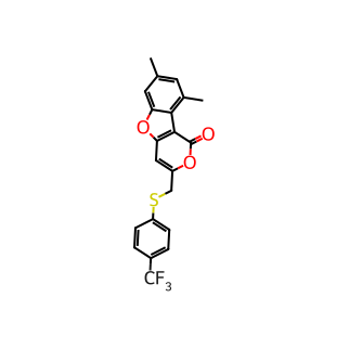 Cc1cc(C)c2c(c1)oc1cc(CSc3ccc(C(F)(F)F)cc3)oc(=O)c12